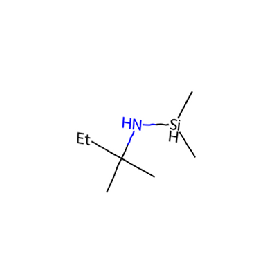 CCC(C)(C)N[SiH](C)C